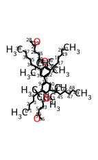 CCCCCC(C)(C)c1cc(-c2cc(C(C)(C)CCCCC)c(OCCCC3CO3)c(C(C)(C)CCCCC)c2)cc(C(C)(C)CCCCC)c1OCCCC1CO1